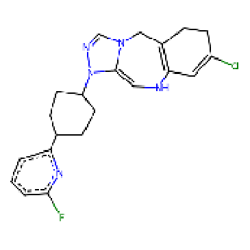 Fc1cccc(C2CCC(N3N=CN4CC5=C(C=C(Cl)CC5)NC=C43)CC2)n1